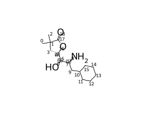 CC1(C)C[C@@H]([C@H](O)[C@@H](N)CC2CCCCC2)OC1=O